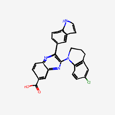 O=C(O)c1ccc2nc(-c3ccc4[nH]ccc4c3)c(N3CCCc4cc(Cl)ccc43)nc2c1